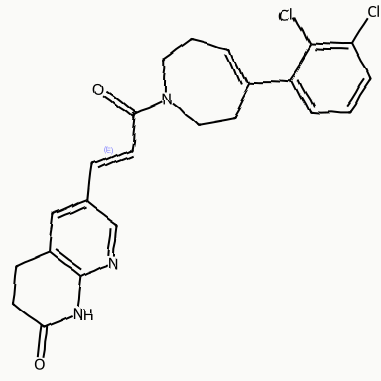 O=C1CCc2cc(/C=C/C(=O)N3CCC=C(c4cccc(Cl)c4Cl)CC3)cnc2N1